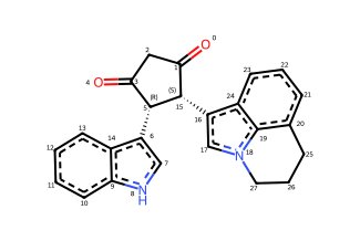 O=C1CC(=O)[C@@H](c2c[nH]c3ccccc23)[C@H]1c1cn2c3c(cccc13)CCC2